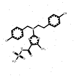 Cc1oc(N(CCc2ccc(C#N)cc2)Cc2ccc(Cl)cc2)nc1C(=O)NS(C)(=O)=O